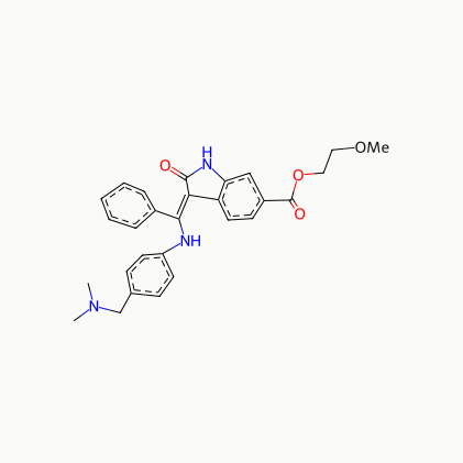 COCCOC(=O)c1ccc2c(c1)NC(=O)C2=C(Nc1ccc(CN(C)C)cc1)c1ccccc1